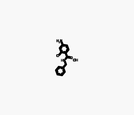 Cl.Nc1ccc(C(=O)NCc2ccccc2)c(Cl)c1